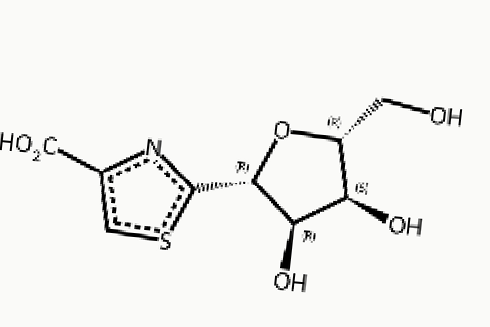 O=C(O)c1csc([C@@H]2O[C@H](CO)[C@@H](O)[C@H]2O)n1